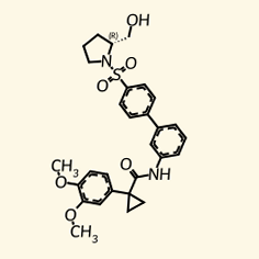 COc1ccc(C2(C(=O)Nc3cccc(-c4ccc(S(=O)(=O)N5CCC[C@@H]5CO)cc4)c3)CC2)cc1OC